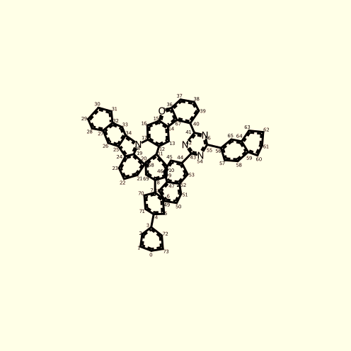 c1ccc(-c2ccc(-c3ccc(-c4cc5c(cc4-n4c6ccccc6c6cc7ccccc7cc64)oc4cccc(-c6nc(-c7ccc8ccccc8c7)nc(-c7ccc8ccccc8c7)n6)c45)cc3)cc2)cc1